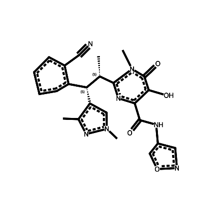 Cc1nn(C)cc1[C@H](c1ccccc1C#N)[C@H](C)c1nc(C(=O)Nc2cnoc2)c(O)c(=O)n1C